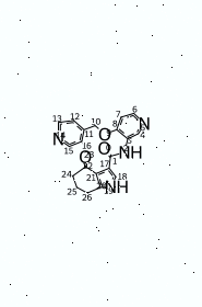 O=C(Nc1cnccc1OCc1ccncc1)c1c[nH]c2c1C(=O)CCC2